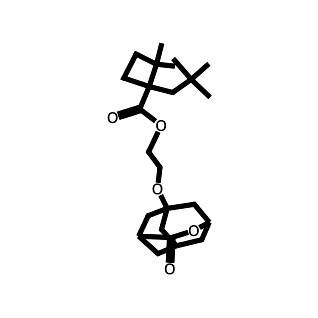 CC(C)(C)CC1(C(=O)OCCOC23CC4CC(C2)OC(=O)C(C4)C3)CCC1(C)C